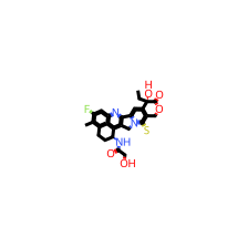 CC[C@@]1(O)C(=O)OCc2c1cc1n(c2=S)Cc2c-1nc1cc(F)c(C)c3c1c2[C@@H](NC(=O)CO)CC3